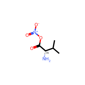 CC(C)[C@H](N)C(=O)O[N+](=O)[O-]